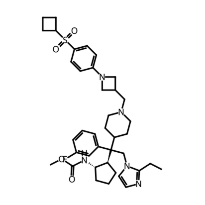 CCc1nccn1CC(c1cccc(F)c1)(C1CCN(CC2CN(c3ccc(S(=O)(=O)C4CCC4)cc3)C2)CC1)[C@H]1CCC[C@@H]1NC(=O)OC